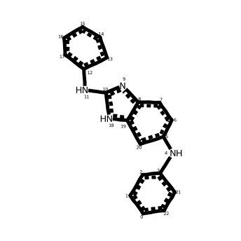 c1ccc(Nc2ccc3nc(Nc4ccccc4)[nH]c3c2)cc1